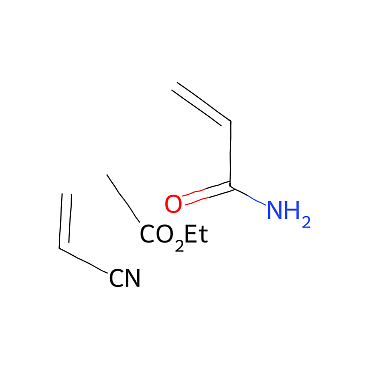 C=CC#N.C=CC(N)=O.CCOC(C)=O